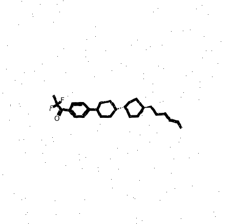 CCCCCC[C@H]1CC[C@H](C2CCC(c3ccc(C(=O)C(C)(F)F)cc3)CC2)CC1